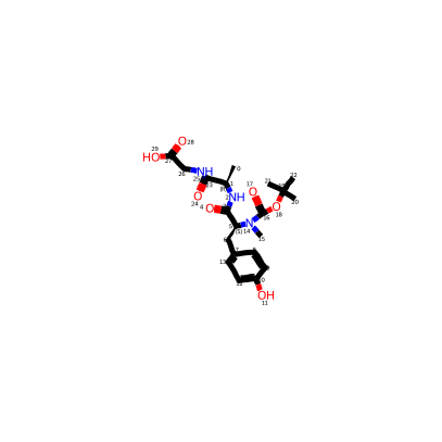 C[C@@H](NC(=O)[C@H](Cc1ccc(O)cc1)N(C)C(=O)OC(C)(C)C)C(=O)NCC(=O)O